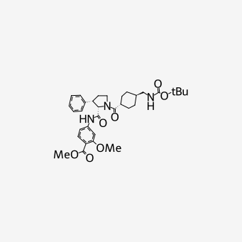 COC(=O)c1ccc(NC(=O)[C@@H]2[C@H](c3ccccc3)CCN2C(=O)[C@H]2CC[C@H](CNC(=O)OC(C)(C)C)CC2)cc1OC